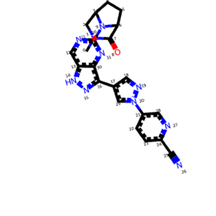 CN1CC2CCC(C1=O)N2c1ncc2[nH]nc(-c3cnn(-c4ccc(C#N)nc4)c3)c2n1